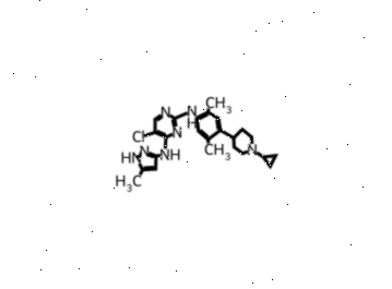 Cc1cc(Nc2nc(Nc3cc(C)c(C4CCN(C5CC5)CC4)cc3C)ncc2Cl)n[nH]1